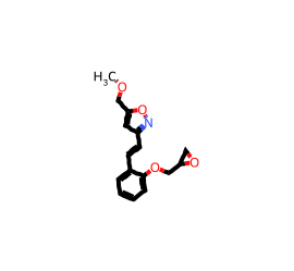 COCc1cc(C=Cc2ccccc2OCC2CO2)no1